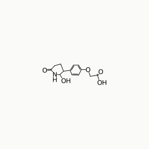 O=C(O)COc1ccc(C2CCC(=O)NC2O)cc1